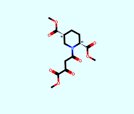 COC(=O)C(=O)CC(=O)N1C[C@H](C(=O)OC)CC[C@@H]1C(=O)OC